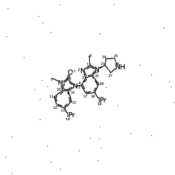 Cc1nc2c(-n3c(=O)n(C)c4ccc(C(C)C)cc43)cc(C(C)C)cc2n1[C@H]1CCNC1